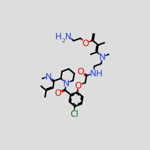 C=C(OCCN)/C(C)=C(\C)N(C)CCNC(=O)COc1ccc(Cl)cc1C(=O)N1CCCCC1/C(C=C(C)C)=N/C